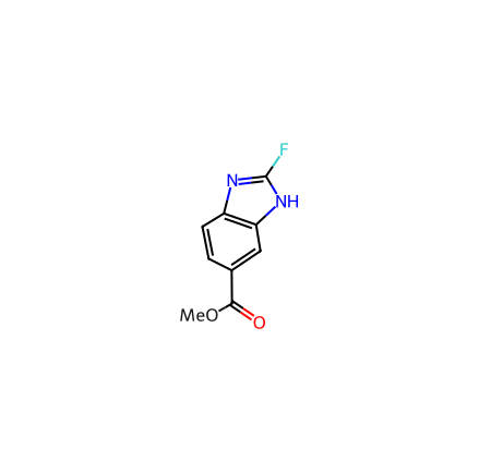 COC(=O)c1ccc2nc(F)[nH]c2c1